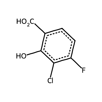 O=C(O)c1ccc(F)c(Cl)c1O